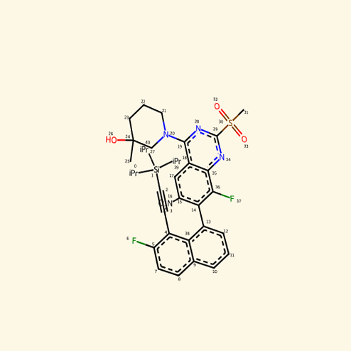 CC(C)[Si](C#Cc1c(F)ccc2cccc(-c3c([N+](=O)[O-])cc4c(N5CCCC(C)(O)C5)nc(S(C)(=O)=O)nc4c3F)c12)(C(C)C)C(C)C